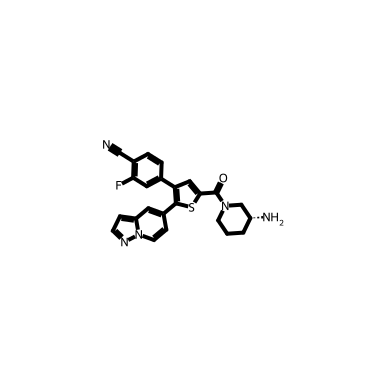 N#Cc1ccc(-c2cc(C(=O)N3CCC[C@@H](N)C3)sc2-c2ccn3nccc3c2)cc1F